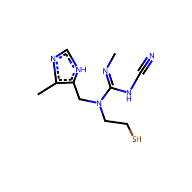 CN=C(NC#N)N(CCS)Cc1[nH]cnc1C